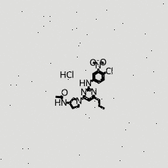 CCCc1cc(N2CCC(NC(C)=O)C2)nc(Nc2ccc(Cl)c([N+](=O)[O-])c2)n1.Cl